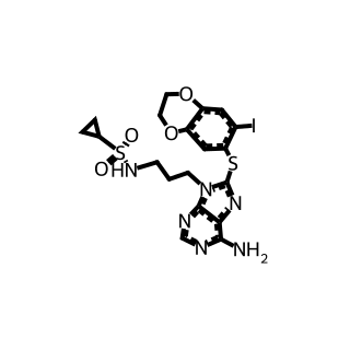 Nc1ncnc2c1nc(Sc1cc3c(cc1I)OCCO3)n2CCCNS(=O)(=O)C1CC1